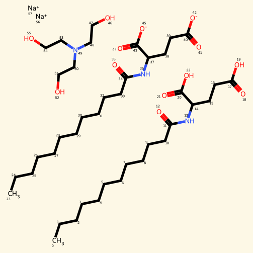 CCCCCCCCCCCC(=O)NC(CCC(=O)O)C(=O)O.CCCCCCCCCCCC(=O)NC(CCC(=O)[O-])C(=O)[O-].OCCN(CCO)CCO.[Na+].[Na+]